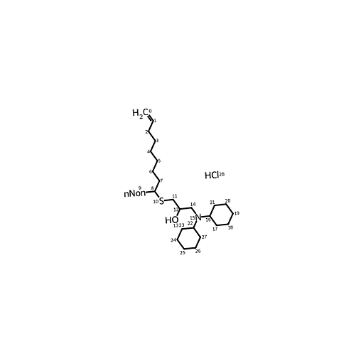 C=CCCCCCCC(CCCCCCCCC)SCC(O)CN(C1CCCCC1)C1CCCCC1.Cl